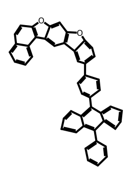 c1ccc(-c2c3ccccc3c(-c3ccc(-c4ccc5oc6cc7oc8ccc9ccccc9c8c7cc6c5c4)cc3)c3ccccc23)cc1